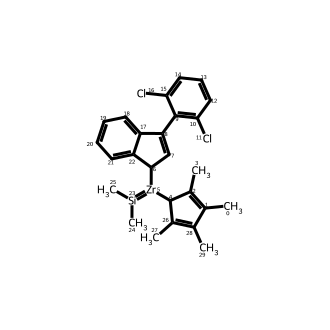 CC1=C(C)[CH]([Zr]([CH]2C=C(c3c(Cl)cccc3Cl)c3ccccc32)=[Si](C)C)C(C)=C1C